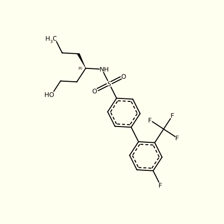 CCC[C@H](CCO)NS(=O)(=O)c1ccc(-c2ccc(F)cc2C(F)(F)F)cc1